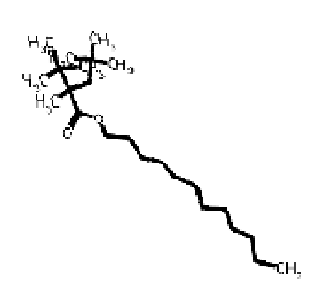 CCCCCCCCCCCCOC(=O)C(C)(CC(C)(C)C)C(C)(C)C